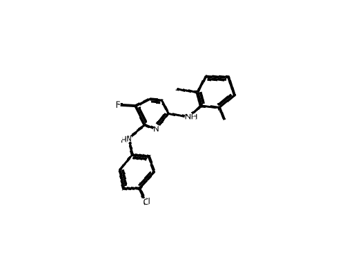 Cc1cccc(C)c1Nc1ccc(F)c(Nc2ccc(Cl)cc2)n1